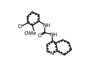 COc1c(Cl)cccc1NC(=O)Nc1ccnc2ccccc12